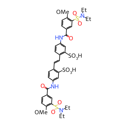 CCN(CC)S(=O)(=O)c1cc(C(=O)Nc2ccc(C=Cc3ccc(NC(=O)c4ccc(OC)c(S(=O)(=O)N(CC)CC)c4)cc3S(=O)(=O)O)c(S(=O)(=O)O)c2)ccc1OC